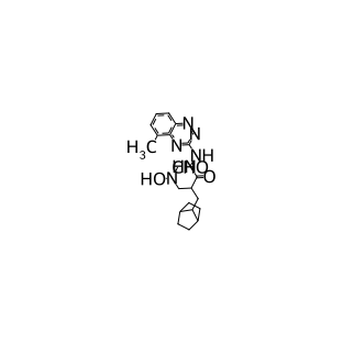 Cc1cccc2nnc(NNC(=O)C(CC3C4CCC3CC4)CN(O)C=O)nc12